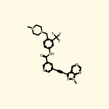 CN1CCN(Cc2ccc(NC(=O)c3cncc(C#Cc4nn(C)c5ncncc45)c3)cc2C(F)(F)F)CC1